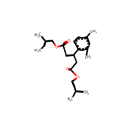 Cc1ccc(C(CC(=O)OCC(C)C)CC(=O)OCC(C)C)c(C)c1